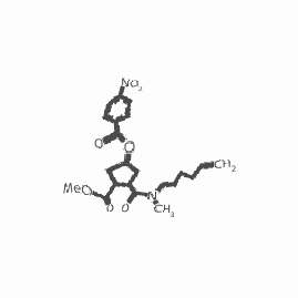 C=CCCCCN(C)C(=O)C1CC(OC(=O)c2ccc([N+](=O)[O-])cc2)CC1C(=O)OC